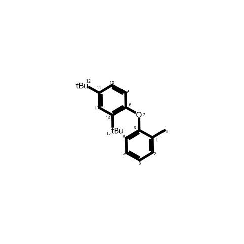 Cc1ccccc1Oc1ccc(C(C)(C)C)cc1C(C)(C)C